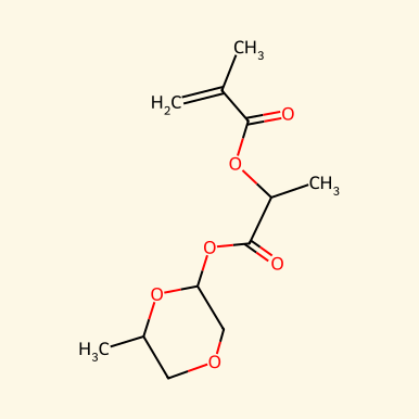 C=C(C)C(=O)OC(C)C(=O)OC1COCC(C)O1